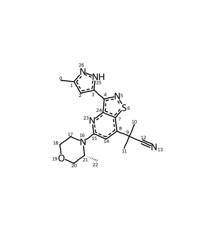 Cc1cc(-c2nsc3c(C(C)(C)C#N)cc(N4CCOC[C@H]4C)nc23)[nH]n1